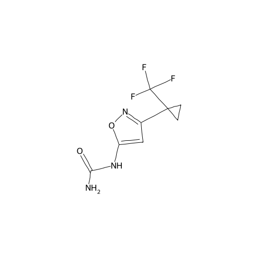 NC(=O)Nc1cc(C2(C(F)(F)F)CC2)no1